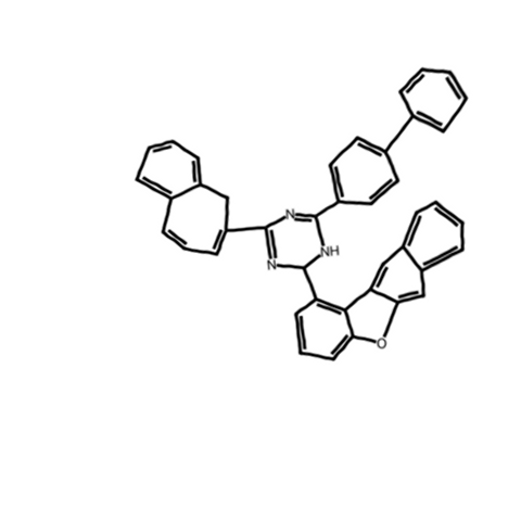 C1=Cc2ccccc2CC(C2=NC(c3cccc4oc5cc6ccccc6cc5c34)NC(c3ccc(-c4ccccc4)cc3)=N2)=C1